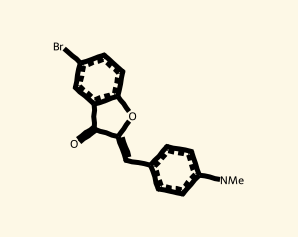 CNc1ccc(/C=C2\Oc3ccc(Br)cc3C2=O)cc1